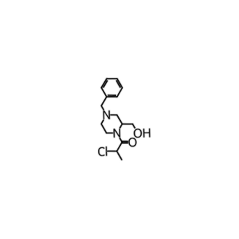 CC(Cl)C(=O)N1CCN(Cc2ccccc2)CC1CO